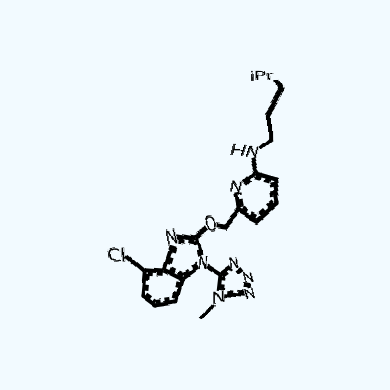 CC(C)CCCNc1cccc(COc2nc3c(Cl)cccc3n2-c2nnnn2C)n1